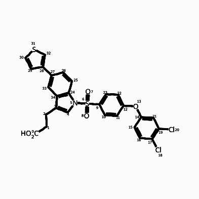 O=C(O)CCc1cn(S(=O)(=O)c2ccc(Oc3ccc(Cl)c(Cl)c3)cc2)c2ccc(-c3ccsc3)cc12